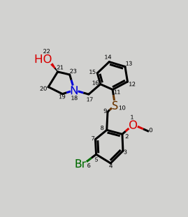 COc1ccc(Br)cc1CSc1ccccc1CN1CC[C@@H](O)C1